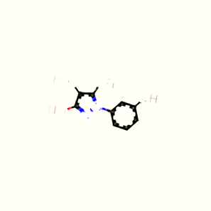 CCCc1c(C)c(O)nn1-c1cccc(C)c1